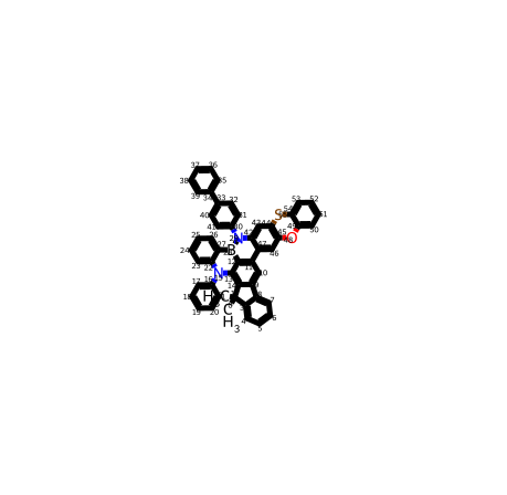 CC1(C)c2ccccc2-c2cc3c4c(c21)N(c1ccccc1)c1ccccc1B4N(c1ccc(-c2ccccc2)cc1)c1cc2c(cc1-3)Oc1ccccc1S2